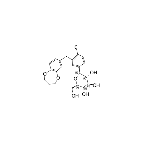 OC[C@H]1O[C@@H](c2ccc(Cl)c(Cc3ccc4c(c3)OCCCO4)c2)[C@H](O)[C@@H](O)[C@@H]1O